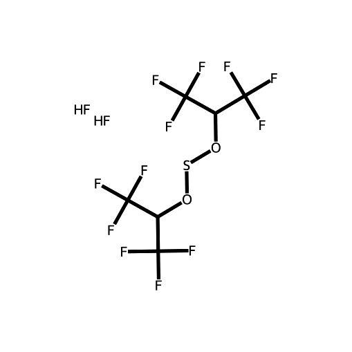 F.F.FC(F)(F)C(OSOC(C(F)(F)F)C(F)(F)F)C(F)(F)F